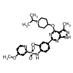 COc1ccnc(S(=O)(=O)Nc2ccc(-c3nc(OC4CCN(C(C)C)CC4)c4c(C)n[nH]c4n3)cc2Cl)c1